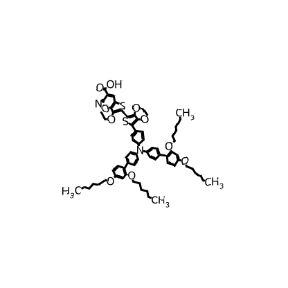 CCCCCCOc1ccc(-c2ccc(N(c3ccc(-c4ccc(OCCCCCC)cc4OCCCCCC)cc3)c3ccc(-c4sc(-c5sc(/C=C(\C#N)C(=O)O)c6c5OCCO6)c5c4OCCO5)cc3)cc2)c(OCCCCCC)c1